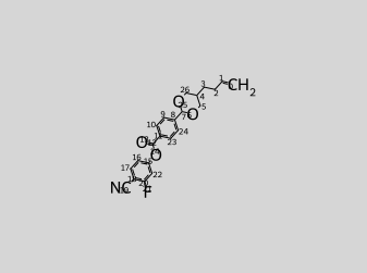 C=CCCC1COC(c2ccc(C(=O)Oc3ccc(C#N)c(F)c3)cc2)OC1